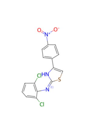 O=[N+]([O-])c1ccc(-c2cs/c(=N/c3c(Cl)cccc3Cl)[nH]2)cc1